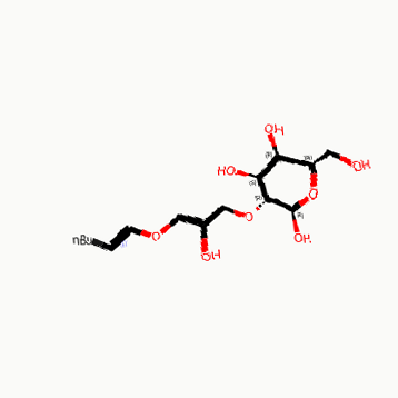 CCCC/C=C/OCC(O)CO[C@@H]1[C@@H](O)[C@@H](O)[C@@H](CO)O[C@H]1O